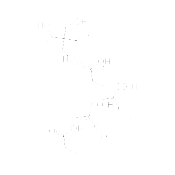 CC(=C=O)C(=O)O.CC(=C=O)C(=O)O.CCC(=O)O.CCC(=O)O.OCC(CO)(CO)CO